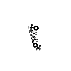 O=C(NC1=NC(=O)C(=Cc2ccc(C(F)(F)F)cc2)S1)Nc1ccccc1C(F)(F)F